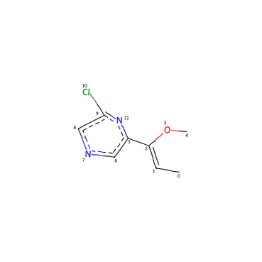 CC=C(OC)c1cncc(Cl)n1